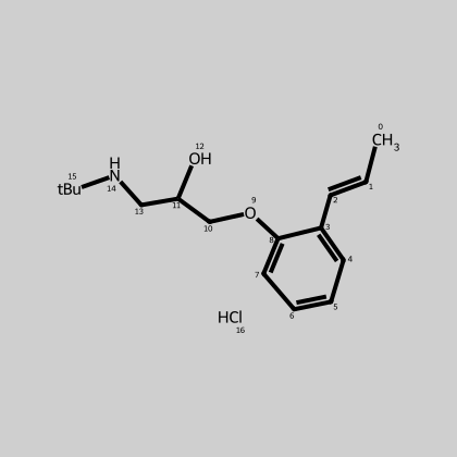 CC=Cc1ccccc1OCC(O)CNC(C)(C)C.Cl